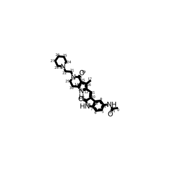 CC(=O)Nc1ccc2c(c1)C(=Cc1[nH]c3c(c1C)C(=O)N(CCN1CCCCC1)CC3)C(=O)N2